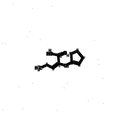 CC/C=C(/OC1=CCCC1)C(=O)O